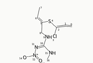 C=C=C(Cl)S/C(=C\C)CNC(=N[N+](=O)[O-])NC